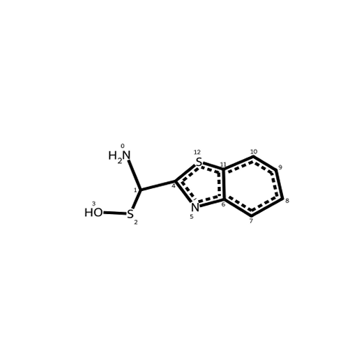 NC(SO)c1nc2ccccc2s1